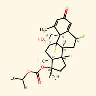 CCC(CC)OC(=O)O[C@@]1(C(=O)O)CC[C@H]2[C@@H]3C[C@H](F)C4=CC(=O)C=C(C)[C@]4(C)C3(F)[C@@H](O)C[C@@]21C